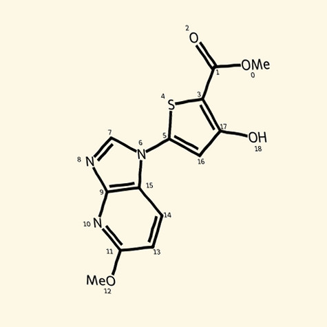 COC(=O)c1sc(-n2cnc3nc(OC)ccc32)cc1O